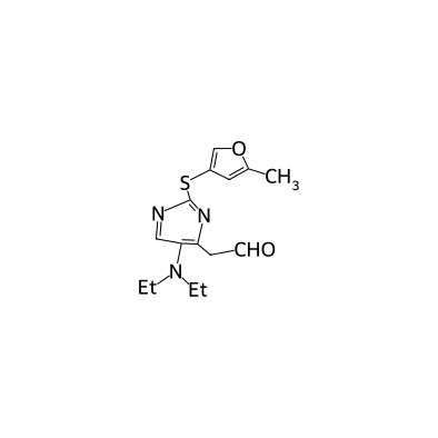 CCN(CC)c1cnc(Sc2coc(C)c2)nc1CC=O